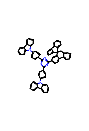 c1ccc2c(c1)CC1(c3cc(-c4nc(-c5ccc(-n6c7ccccc7c7ccccc76)cc5)nc(-c5ccc(-n6c7ccccc7c7ccccc76)cc5)n4)ccc3-2)c2ccccc2-c2ccccc21